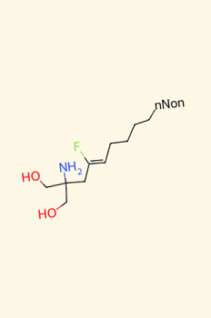 CCCCCCCCCCCCCC=C(F)CC(N)(CO)CO